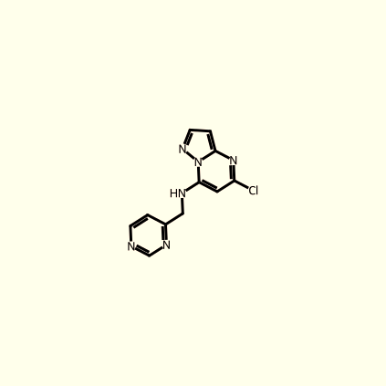 Clc1cc(NCc2ccncn2)n2nccc2n1